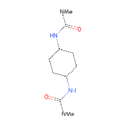 CNC(=O)NC1CCC(NC(=O)NC)CC1